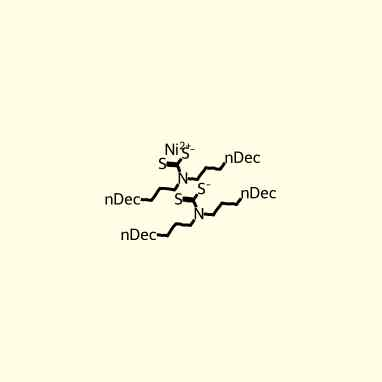 CCCCCCCCCCCCCN(CCCCCCCCCCCCC)C(=S)[S-].CCCCCCCCCCCCCN(CCCCCCCCCCCCC)C(=S)[S-].[Ni+2]